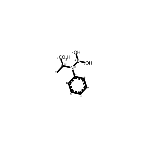 C[C@@H](C(=O)O)N(B(O)O)c1ccccc1